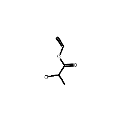 C=COC(=O)C(C)Cl